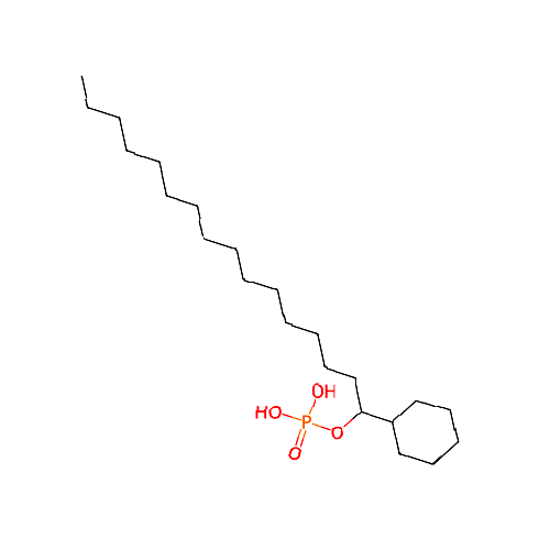 CCCCCCCCCCCCCCCC(OP(=O)(O)O)C1CCCCC1